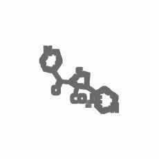 CCOC(=O)c1c(-c2ccncc2)csc1C(=O)c1ccncc1